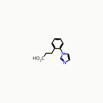 O=C(O)CCc1ccccc1-n1ccnc1